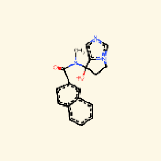 CN(C(=O)c1ccc2ccccc2c1)C1(O)CCn2cncc21